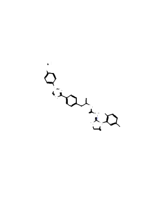 CCCc1ccc(C)cc1N1C(=O)CN/C1=N\C(=O)NC(C)Cc1ccc(-c2ncn(-c3ccc(OC(F)(F)F)cc3)n2)cc1